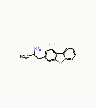 Cl.N[C@@H](Cc1ccc2c(c1)oc1ccccc12)C(=O)O